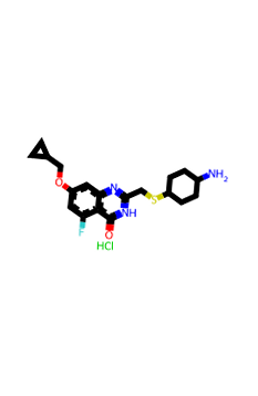 Cl.NC1CCC(SCc2nc3cc(OCC4CC4)cc(F)c3c(=O)[nH]2)CC1